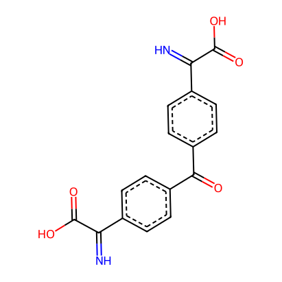 N=C(C(=O)O)c1ccc(C(=O)c2ccc(C(=N)C(=O)O)cc2)cc1